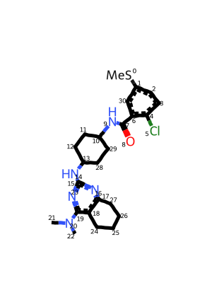 CSc1ccc(Cl)c(C(=O)NC2CCC(Nc3nc4c(c(N(C)C)n3)CCCC4)CC2)c1